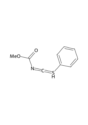 COC(=O)N=C=[SH]c1ccccc1